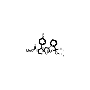 COC(=O)[C@H]1CC[C@@]2(C[C@H](c3ccccc3C(C)(C)OC(F)(F)F)CO2)[C@@H]1c1ccc(F)cc1